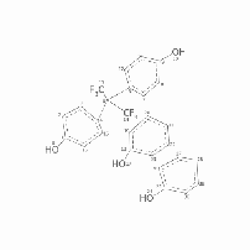 Oc1ccc(C(c2ccc(O)cc2)(C(F)(F)F)C(F)(F)F)cc1.Oc1ccccc1.Oc1ccccc1